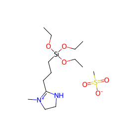 CCO[Si](CCCC1=[N+](C)CCN1)(OCC)OCC.CS(=O)(=O)[O-]